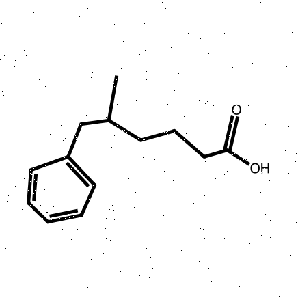 CC(CCCC(=O)O)Cc1ccccc1